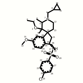 CCOC1(C)C(C)N(CC2CC2)CCC1(CCNS(=O)(=O)c1ccc(Cl)cc1)c1cc(OC)ccc1CC